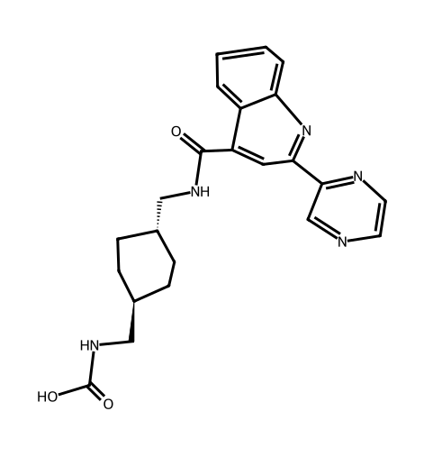 O=C(O)NC[C@H]1CC[C@H](CNC(=O)c2cc(-c3cnccn3)nc3ccccc23)CC1